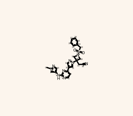 Cn1cc(Nc2nccc(-c3cnn(C4(CC#N)CN(S(=O)(=O)Cc5ccccc5)C4)c3)n2)cn1